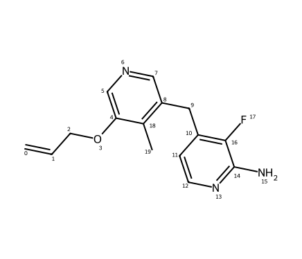 C=CCOc1cncc(Cc2ccnc(N)c2F)c1C